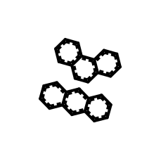 c1ccc2c(c1)ccc1ccccc12.c1ccc2cc3ccccc3cc2c1